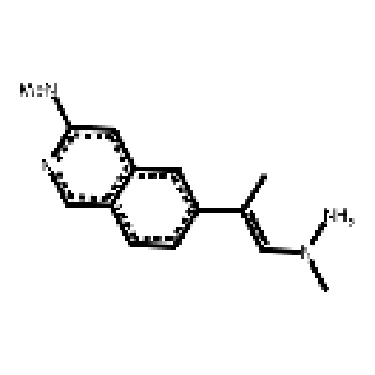 CNc1cc2cc(/C(C)=C/N(C)N)ccc2cn1